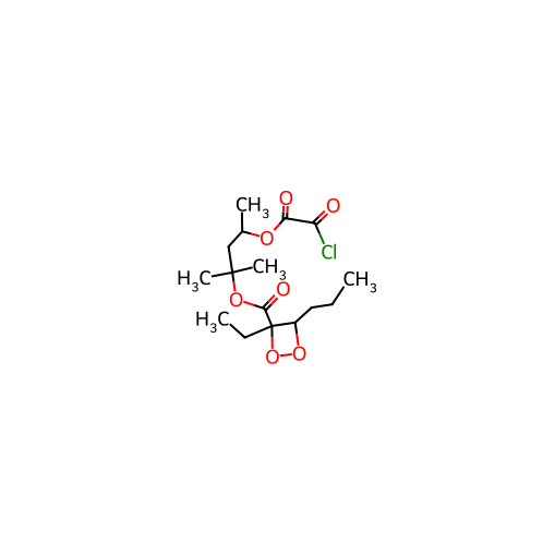 CCCC1OOC1(CC)C(=O)OC(C)(C)CC(C)OC(=O)C(=O)Cl